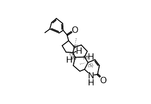 Cc1cccc(C(=O)C2CC[C@H]3[C@@H]4CCC5NC(=O)C=C[C@]5(C)[C@@H]4CC[C@]23C)c1